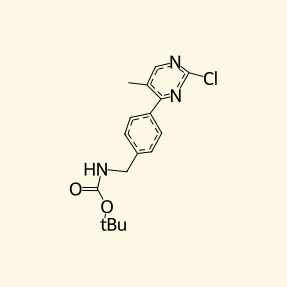 Cc1cnc(Cl)nc1-c1ccc(CNC(=O)OC(C)(C)C)cc1